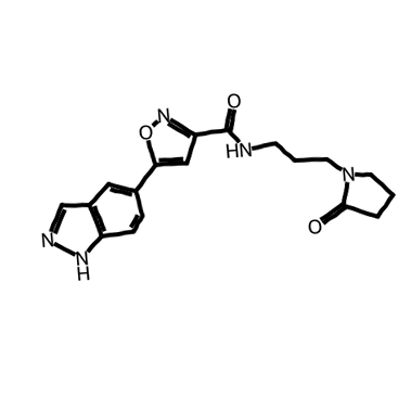 O=C(NCCCN1CCCC1=O)c1cc(-c2ccc3[nH]ncc3c2)on1